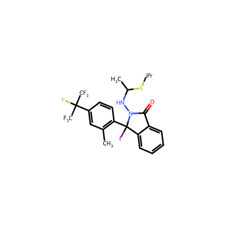 Cc1cc(C(F)(C(F)(F)F)C(F)(F)F)ccc1C1(I)c2ccccc2C(=O)N1NC(C)SC(C)C